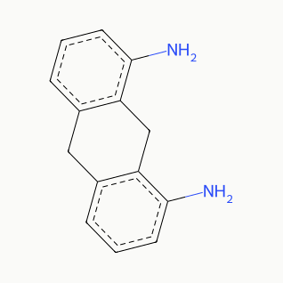 Nc1cccc2c1Cc1c(N)cccc1C2